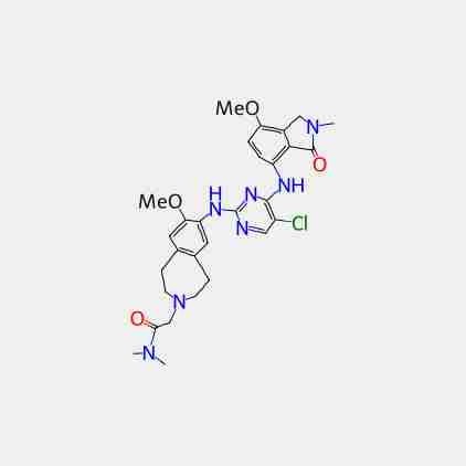 COc1cc2c(cc1Nc1ncc(Cl)c(Nc3ccc(OC)c4c3C(=O)N(C)C4)n1)CCN(CC(=O)N(C)C)CC2